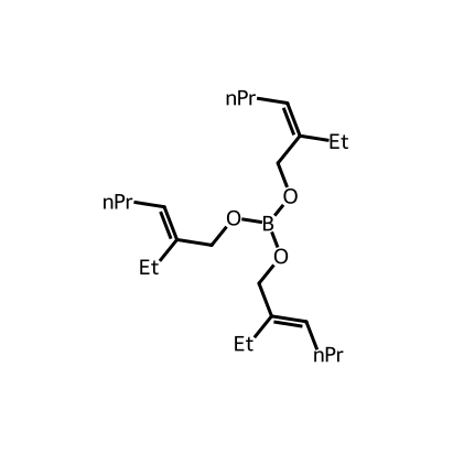 CCCC=C(CC)COB(OCC(=CCCC)CC)OCC(=CCCC)CC